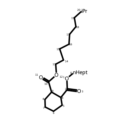 CCCCCCCOC(=O)C1CCCCC1C(=O)OCCCCCCCC(C)C